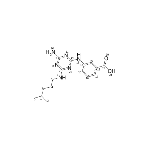 CC(C)CCCNc1nc(N)nc(Nc2cccc(C(=O)O)c2)n1